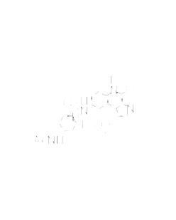 CCOC(=O)c1c[nH]c2c(=O)[nH]c3ccc(N[SH](C)(=O)c4ccc(NC(C)=O)cc4)cc3c12